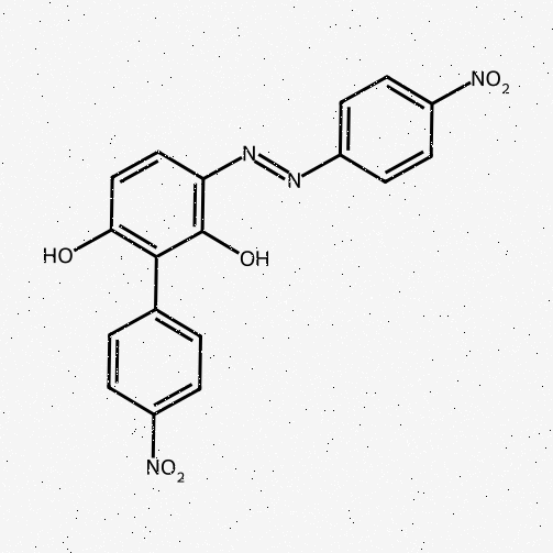 O=[N+]([O-])c1ccc(N=Nc2ccc(O)c(-c3ccc([N+](=O)[O-])cc3)c2O)cc1